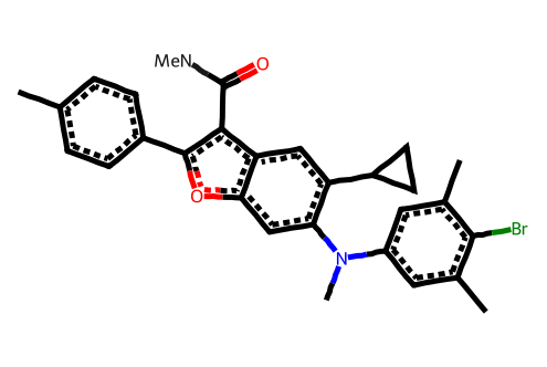 CNC(=O)c1c(-c2ccc(C)cc2)oc2cc(N(C)c3cc(C)c(Br)c(C)c3)c(C3CC3)cc12